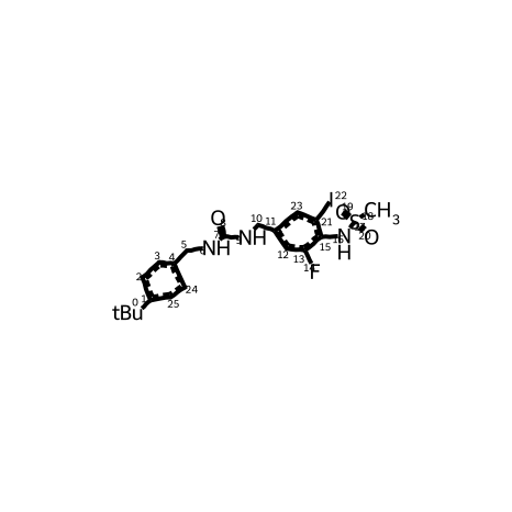 CC(C)(C)c1ccc(CNC(=O)NCc2cc(F)c(NS(C)(=O)=O)c(I)c2)cc1